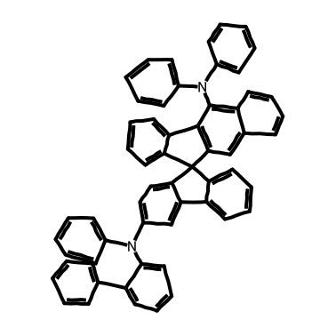 c1ccc(-c2ccccc2N(c2ccccc2)c2ccc3c(c2)-c2ccccc2C32c3ccccc3-c3c2cc2ccccc2c3N(c2ccccc2)c2ccccc2)cc1